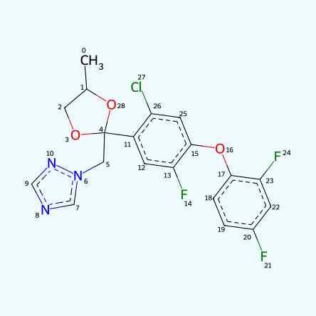 CC1COC(Cn2cncn2)(c2cc(F)c(Oc3ccc(F)cc3F)cc2Cl)O1